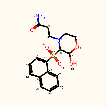 NC(=O)CCN1CCOC(O)C1S(=O)(=O)c1cccc2ccccc12